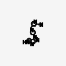 N#Cc1cc(CN2CCC(n3cnc4cnc5[nH]ccc5c43)CC2)ccn1